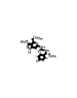 COCc1nc(NC(=O)N[C@H](COC)c2ccc(F)cc2)cc2[nH]nc(OC)c12